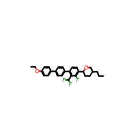 CCCC1CCC(c2ccc(-c3ccc(-c4ccc(OCC)cc4)cc3)c(C(F)F)c2F)OC1